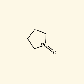 O=[13C]1CCCC1